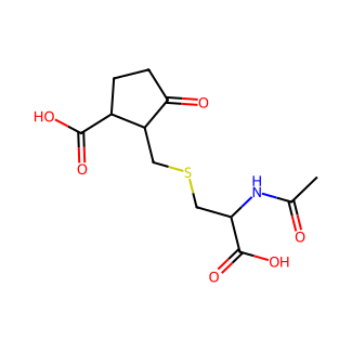 CC(=O)NC(CSCC1C(=O)CCC1C(=O)O)C(=O)O